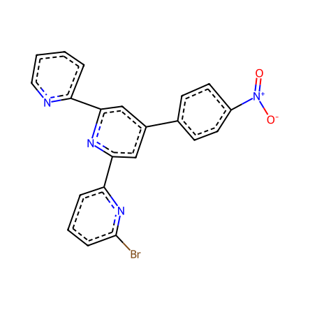 O=[N+]([O-])c1ccc(-c2cc(-c3ccccn3)nc(-c3cccc(Br)n3)c2)cc1